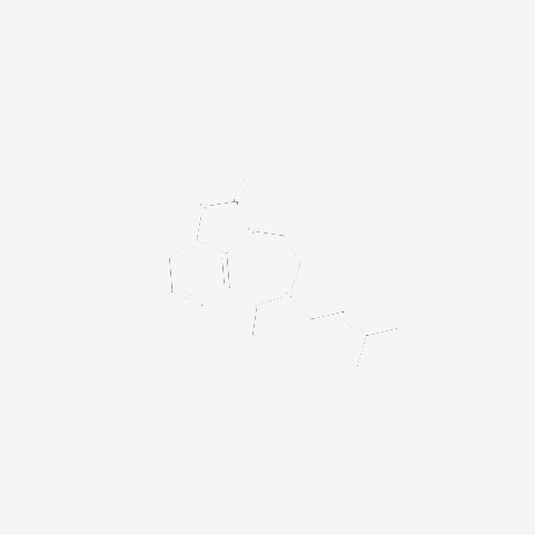 CC(C)=CCN1CCn2c(=O)[nH]c3cc(Cl)cc(c32)C1C